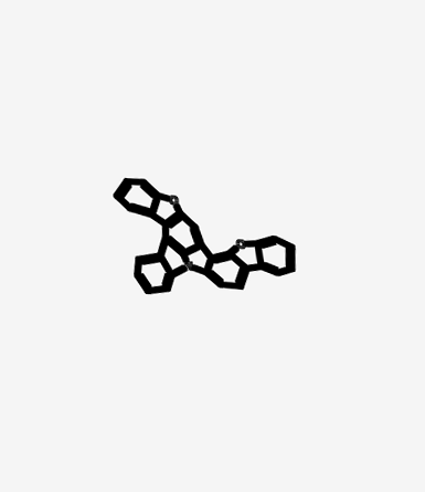 c1ccc2c(c1)oc1c2ccc2c1c1cc3oc4ccccc4c3c3c4ccccc4n2c13